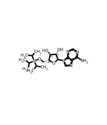 CC(C)[Si](OC[C@H]1OC(n2cnc3c(N)ncnc32)[C@@H](O)[C@@H]1O)(C(C)C)C(C)C